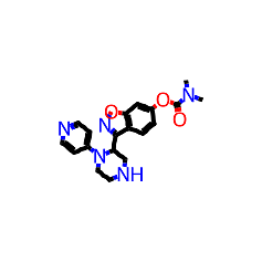 CN(C)C(=O)Oc1ccc2c(C3CNCCN3c3ccncc3)noc2c1